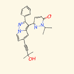 CC(C)n1nc(-c2c(-c3ccccc3)nn3ccc(C#CC(C)(C)O)cc23)ccc1=O